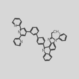 CCc1nc2c3c(-c4ccc(-c5cccc(-c6cc(-c7ccccn7)nc(-c7ccccn7)c6)c5)cc4)nc4ccccc4c3ccc2n1-c1ccccc1